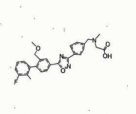 COCc1cc(-c2nc(-c3ccc(CN(C)CC(=O)O)cc3)no2)ccc1-c1cccc(F)c1C